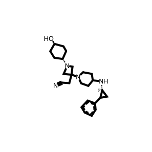 N#CCC1(N2CCC(N[C@@H]3CC3c3ccccc3)CC2)CN([C@H]2CC[C@H](O)CC2)C1